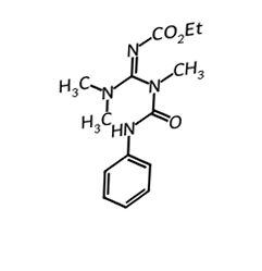 CCOC(=O)/N=C(/N(C)C)N(C)C(=O)Nc1ccccc1